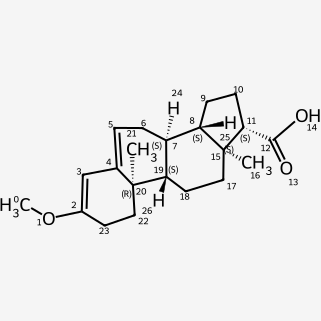 COC1=CC2=CC[C@H]3[C@@H]4CC[C@H](C(=O)O)[C@@]4(C)CC[C@@H]3[C@@]2(C)CC1